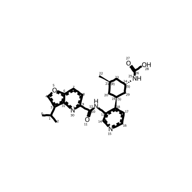 CC(C)c1coc2ccc(C(=O)Nc3cnccc3[C@H]3C[C@@H](C)C[C@H](NC(=O)O)C3)nc12